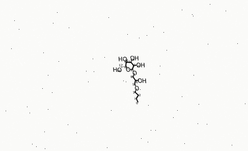 CCCCOCC(O)CO[C@@H]1O[C@H](CO)[C@H](O)[C@H](O)[C@H]1O